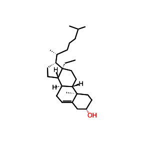 CC[C@]12CC[C@H]3[C@@H](CC=C4C[C@@H](O)CC[C@@]43C)[C@@H]1CC[C@@H]2[C@H](C)CCCC(C)C